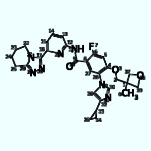 CC1(COc2cc(F)c(C(=O)Nc3cccc(-c4nnc5n4CCCC5)n3)cc2-n2cnc(C3CC3)c2)COC1